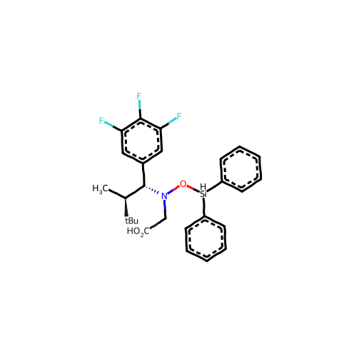 C[C@@H]([C@H](c1cc(F)c(F)c(F)c1)N(CC(=O)O)O[SiH](c1ccccc1)c1ccccc1)C(C)(C)C